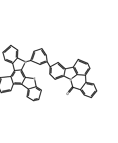 O=c1c2ccccc2c2cccc3c4cc(-c5cccc(-n6c7ccccc7c7c8ccccc8c8c9ccccc9sc8c76)c5)ccc4n1c23